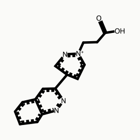 O=C(O)CC[n+]1ccc(-c2cc3ccccc3nn2)cn1